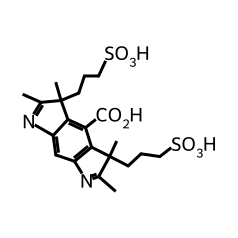 CC1=Nc2cc3c(c(C(=O)O)c2C1(C)CCCS(=O)(=O)O)C(C)(CCCS(=O)(=O)O)C(C)=N3